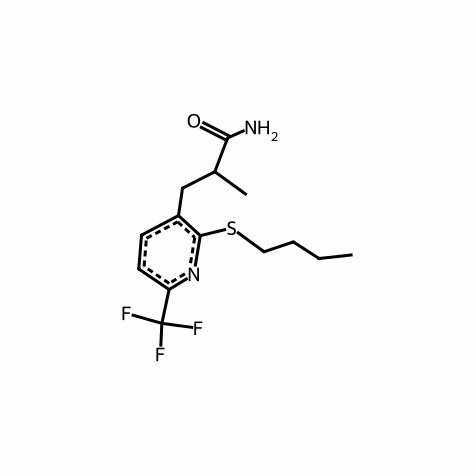 CCCCSc1nc(C(F)(F)F)ccc1CC(C)C(N)=O